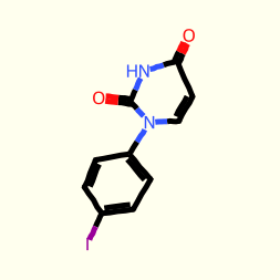 O=c1ccn(-c2ccc(I)cc2)c(=O)[nH]1